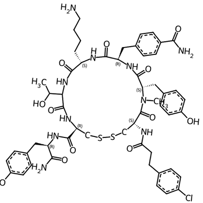 CC(O)C1NC(=O)[C@H](CCCCN)NC(=O)[C@@H](Cc2ccc(C(N)=O)cc2)NC(=O)[C@H](Cc2ccc(O)cc2)N(C)C(=O)[C@H](NC(=O)CCc2ccc(Cl)cc2)CSSC[C@@H](C(=O)N[C@H](Cc2ccc(O)cc2)C(N)=O)NC1=O